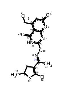 CCc1cc(=O)oc2nc(O/N=C(\C)C3=C(Cl)SC(C)C3)[nH]c(=O)c12